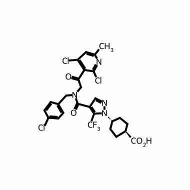 Cc1cc(Cl)c(C(=O)CN(Cc2ccc(Cl)cc2)C(=O)c2cnn([C@H]3CC[C@H](C(=O)O)CC3)c2C(F)(F)F)c(Cl)n1